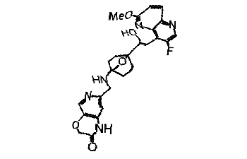 COc1ccc2ncc(F)c(CC(O)C34CCC(NCc5cc6c(cn5)OCC(=O)N6)(CC3)CO4)c2n1